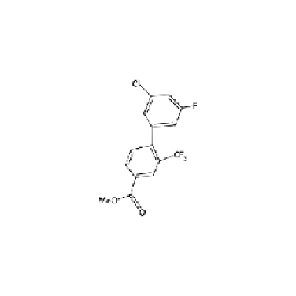 COC(=O)c1ccc(-c2cc(F)cc(Cl)c2)c(C(F)(F)F)c1